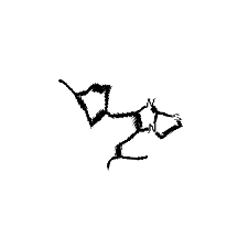 Cc1ccc(-c2nc3sccn3c2CC(C)C)cc1